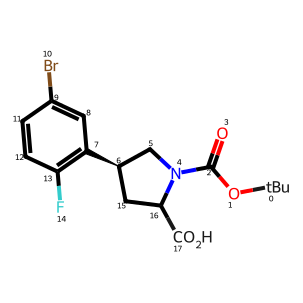 CC(C)(C)OC(=O)N1C[C@H](c2cc(Br)ccc2F)CC1C(=O)O